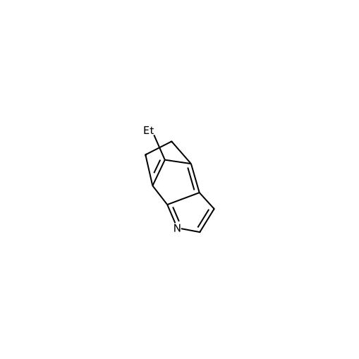 CCC1=C2CCC1=C1C=CN=C12